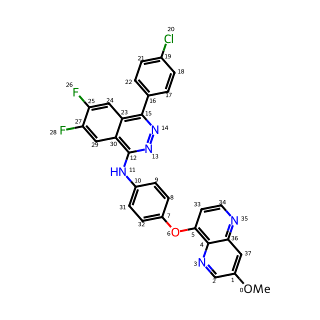 COc1cnc2c(Oc3ccc(Nc4nnc(-c5ccc(Cl)cc5)c5cc(F)c(F)cc45)cc3)ccnc2c1